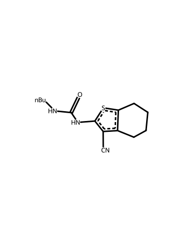 CCCCNC(=O)Nc1sc2c(c1C#N)CCCC2